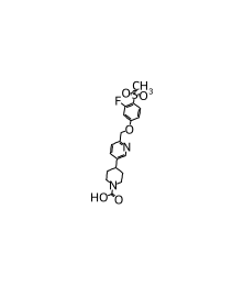 CS(=O)(=O)c1ccc(OCc2ccc(C3CCN(C(=O)O)CC3)cn2)cc1F